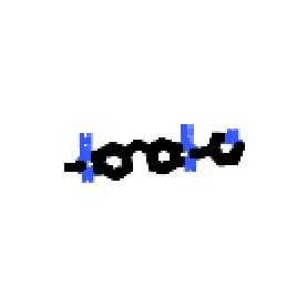 Cc1nc2ccc(Cc3ccc4nc(-c5cccnc5)[nH]c4c3)cc2[nH]1